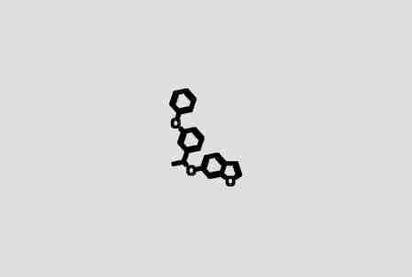 CC(Oc1ccc2ccoc2c1)c1cccc(Oc2ccccc2)c1